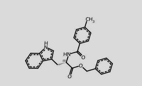 Cc1ccc(C(=O)N[C@@H](Cc2c[nH]c3ccccc23)C(=O)OCc2ccccc2)cc1